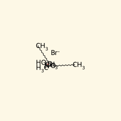 CCCCCCCCCCCCCCOCC(C[N+](C)(C)C=CO)OCCCCCCCCCCCCCC.[Br-]